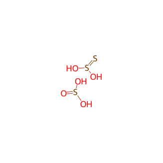 O=S(O)O.OS(O)=S